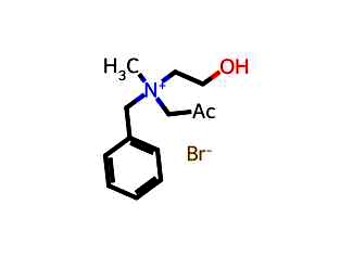 CC(=O)C[N+](C)(CCO)Cc1ccccc1.[Br-]